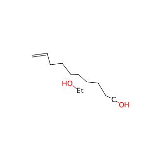 C=CCCCCCCCCO.CCO